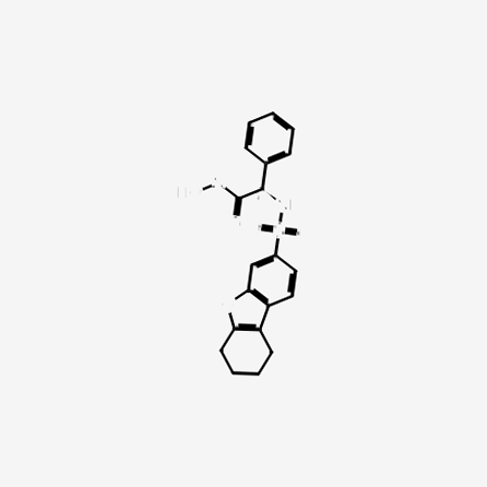 O=C(NO)[C@H](NS(=O)(=O)c1ccc2c3c(oc2c1)CCCC3)c1ccccc1